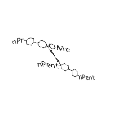 CCCCCC1CCC(C2CCC(C#CC#CC3(OC)CCC(C4CCC(CCC)CC4)CC3)(CCCCC)CC2)CC1